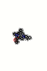 CC1(C)c2ccccc2-c2ccc(N(c3ccc(-c4ccccc4-c4ccc5c(c4)c4ccccc4n5-c4ccc5c(c4)oc4ccccc45)cc3)c3cccc4ccccc34)cc21